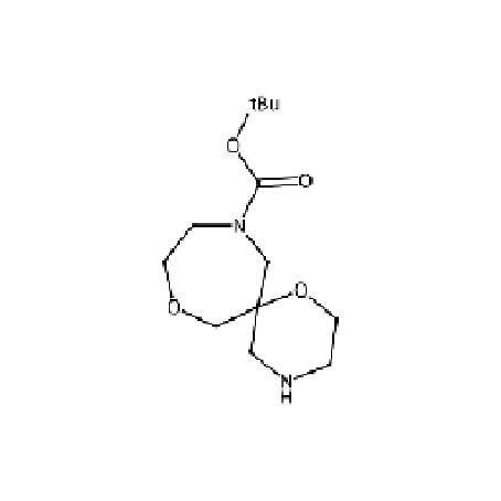 CC(C)(C)OC(=O)N1CCOCC2(CNCCO2)C1